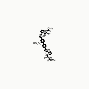 COC(=O)N[C@H](C(=O)N1CCC[C@H]1c1ncc(-c2ccc(-c3ccc(-c4cnc([C@@H]5CCCN5C(=O)[C@@H](NC(=O)OC)C(C)C)[nH]4)cc3OC(=O)O)cc2)[nH]1)C(C)C